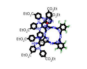 CCOC(=O)c1ccc(Nc2cc3c(c(Nc4ccc(C(=O)OCC)cc4)c2Nc2ccc(C(=O)OCC)cc2)-c2nc-3nc3[nH]c(nc4nc(nc5c6c(Nc7ccc(C(=O)OCC)cc7)c(Nc7ccc(C(=O)OCC)cc7)c(Nc7ccc(C(=O)OCC)cc7)c(Nc7ccc(C(=O)OCC)cc7)c6c(n2)n5Nc2ccc(C(=O)OCC)cc2)-c2c(F)c(F)c(F)c(F)c2-4)c2c(F)c(F)c(F)c(F)c32)cc1